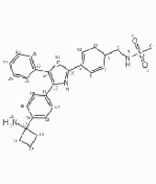 CS(=O)(=O)NCC1C=CC(c2nc(-c3ccc(C4(N)CCC4)cc3)c(-c3ccccc3)s2)=CC1